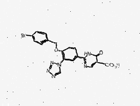 O=C(O)c1cnc(-c2ccc(OCc3ccc(Br)cc3)c(-n3cnnn3)c2)[nH]c1=O